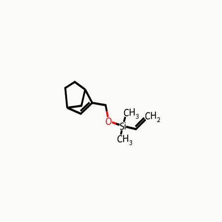 C=C[Si](C)(C)OCC1=CC2CCC1C2